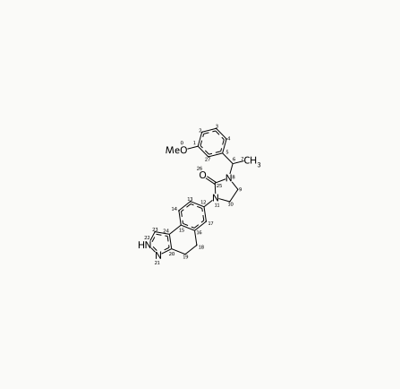 COc1cccc(C(C)N2CCN(c3ccc4c(c3)CCc3n[nH]cc3-4)C2=O)c1